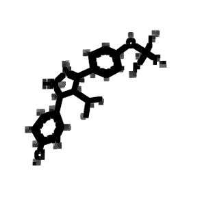 CC(C)C1C(c2ccc(OC(F)(F)F)cc2)=NNC1c1ccc(Cl)nc1